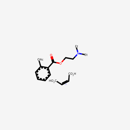 CCN(CC)CCOC(=O)c1ccccc1OC(C)=O.O=C(O)/C=C\C(=O)O